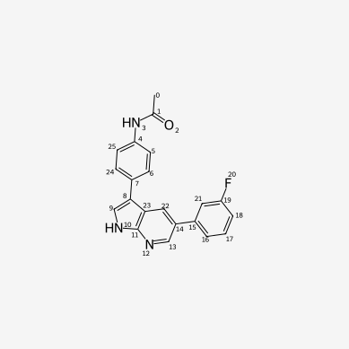 CC(=O)Nc1ccc(-c2c[nH]c3ncc(-c4cccc(F)c4)cc23)cc1